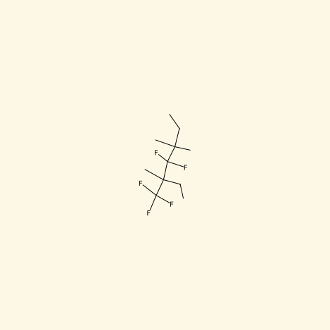 CCC(C)(C)C(F)(F)C(C)(CC)C(F)(F)F